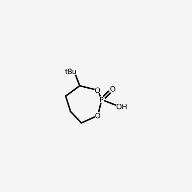 CC(C)(C)C1CCCOP(=O)(O)O1